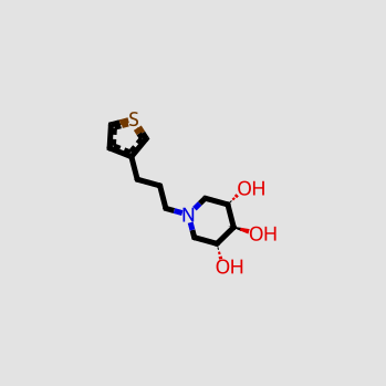 O[C@H]1[C@H](O)CN(CCCc2ccsc2)C[C@@H]1O